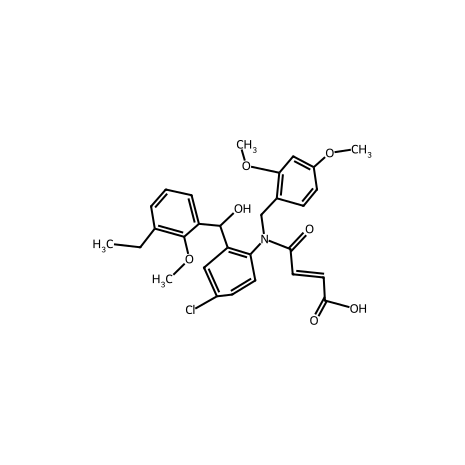 CCc1cccc(C(O)c2cc(Cl)ccc2N(Cc2ccc(OC)cc2OC)C(=O)C=CC(=O)O)c1OC